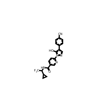 N#Cc1ccc(-c2cnn(-c3ccc(C(=O)NC(C4CC4)C(F)(F)F)cn3)c2O)cc1